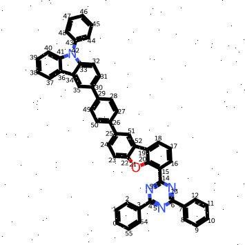 c1ccc(-c2nc(-c3ccccc3)nc(-c3cccc4c3oc3ccc(-c5ccc(-c6ccc7c(c6)c6ccccc6n7-c6ccccc6)cc5)cc34)n2)cc1